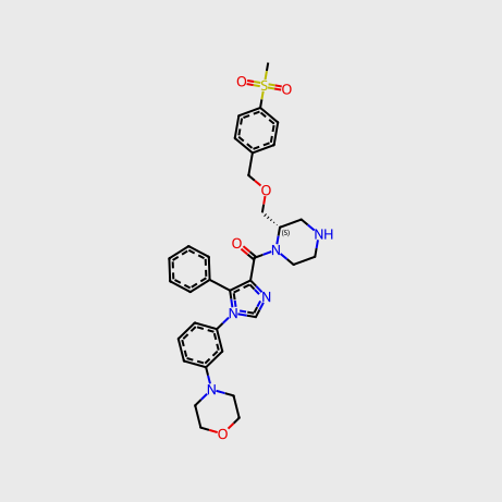 CS(=O)(=O)c1ccc(COC[C@@H]2CNCCN2C(=O)c2ncn(-c3cccc(N4CCOCC4)c3)c2-c2ccccc2)cc1